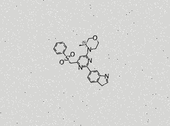 C[C@H]1COCCN1c1cc(CS(=O)(=O)c2ccccc2)nc(-c2ccc3c(c2)N=CC3)n1